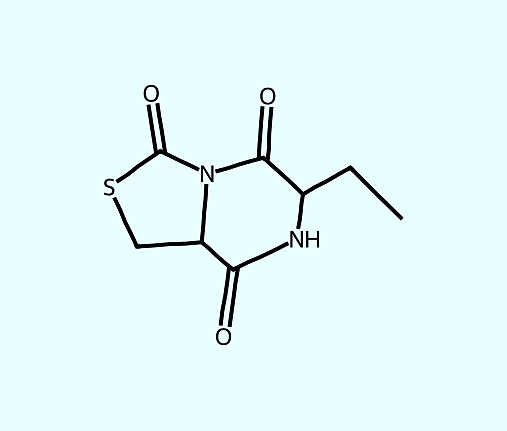 CCC1NC(=O)C2CSC(=O)N2C1=O